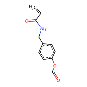 C=CC(=O)NCc1ccc(OC=O)cc1